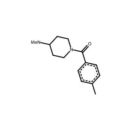 CNC1CCN(C(=O)c2ccc(C)cc2)CC1